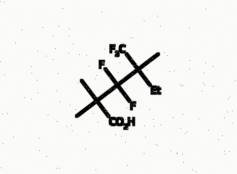 CCC(C)(C(F)(F)F)C(F)(F)C(C)(C)C(=O)O